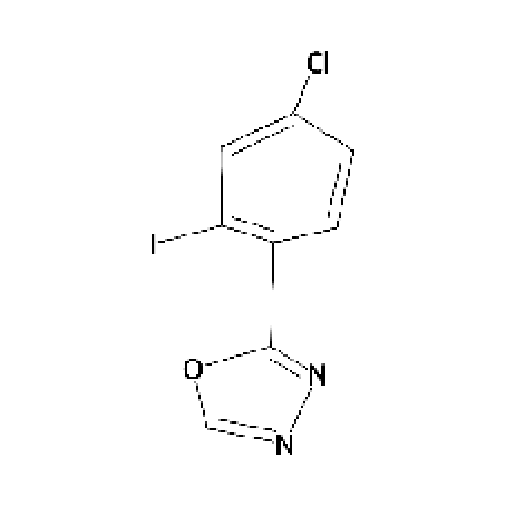 Clc1ccc(-c2nnco2)c(I)c1